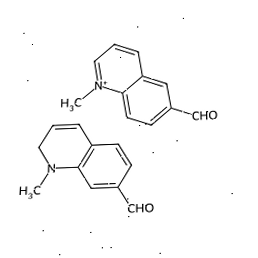 CN1CC=Cc2ccc(C=O)cc21.C[n+]1cccc2cc(C=O)ccc21